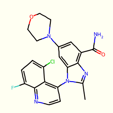 Cc1nc2c(C(N)=O)cc(N3CCOCC3)cc2n1-c1ccnc2c(F)ccc(Cl)c12